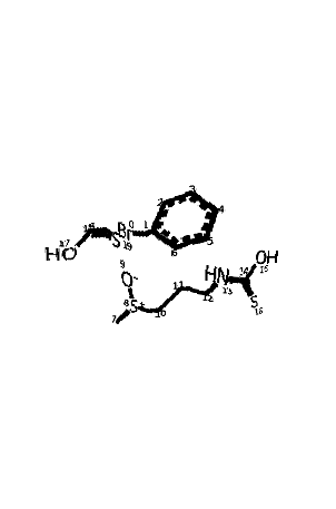 Brc1ccccc1.C[S+]([O-])CCCNC(O)=S.OC=S